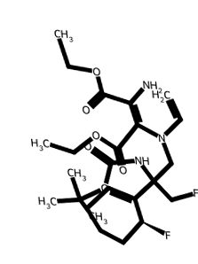 C=CN(CC(CF)(NC(=O)OC(C)(C)C)C1=CCCC[C@@H]1F)/C(C(=O)OCC)=C(\N)C(=O)OCC